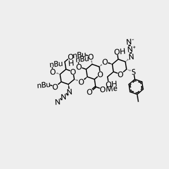 CCCCOC1[C@H](OCCCC)C(CO)O[C@H](O[C@@H]2C(C(=O)OC)O[C@@H](O[C@@H]3C(CO)O[C@@H](Sc4ccc(C)cc4)[C@@H](N=[N+]=[N-])C3O)[C@@H](OCCCC)C2OCCCC)[C@H]1N=[N+]=[N-]